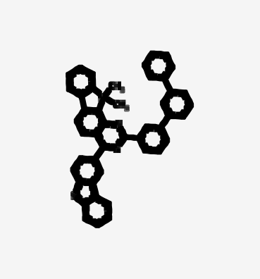 C[Si]1(C)c2ccccc2-c2ccc3c(-c4ccc5sc6ccccc6c5c4)nc(-c4cccc(-c5cccc(-c6ccccc6)c5)c4)nc3c21